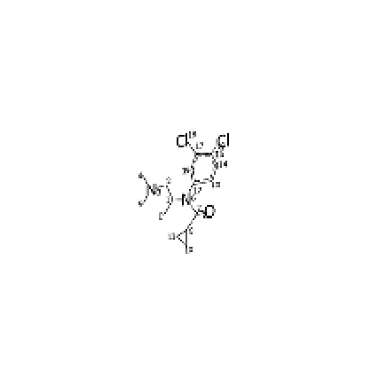 CC(CN(C)C)N(C(=O)C1CC1)c1ccc(Cl)c(Cl)c1